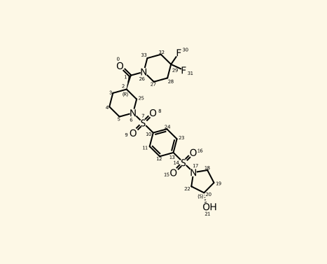 O=C([C@@H]1CCCN(S(=O)(=O)c2ccc(S(=O)(=O)N3CC[C@H](O)C3)cc2)C1)N1CCC(F)(F)CC1